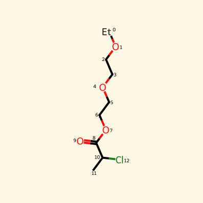 CCOCCOC[CH]OC(=O)C(C)Cl